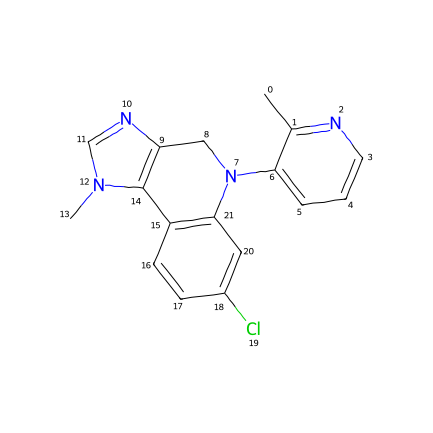 Cc1ncccc1N1Cc2ncn(C)c2-c2ccc(Cl)cc21